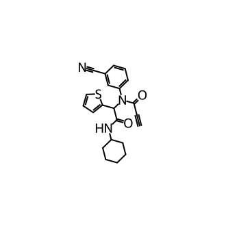 C#CC(=O)N(c1cccc(C#N)c1)C(C(=O)NC1CCCCC1)c1cccs1